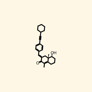 CC1=C2CCC[C@H](O)[C@@]2(C)C/C(=C\c2ccc(C#CC3CCCCC3)cc2)C1=O